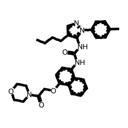 CCCCc1cnn(-c2ccc(C)cc2)c1NC(=O)Nc1ccc(OCC(=O)N2CCOCC2)c2ccccc12